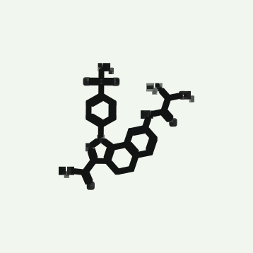 CC(N)C(=O)Nc1ccc2c(c1)-c1c(c(C(N)=O)nn1-c1ccc(S(N)(=O)=O)cc1)CC2